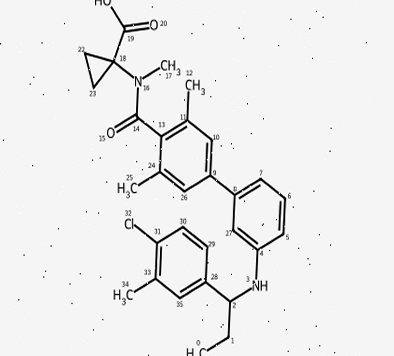 CCC(Nc1cccc(-c2cc(C)c(C(=O)N(C)C3(C(=O)O)CC3)c(C)c2)c1)c1ccc(Cl)c(C)c1